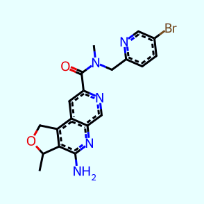 CC1OCc2c1c(N)nc1cnc(C(=O)N(C)Cc3ccc(Br)cn3)cc21